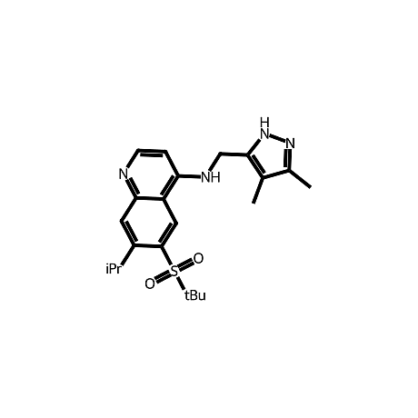 Cc1n[nH]c(CNc2ccnc3cc(C(C)C)c(S(=O)(=O)C(C)(C)C)cc23)c1C